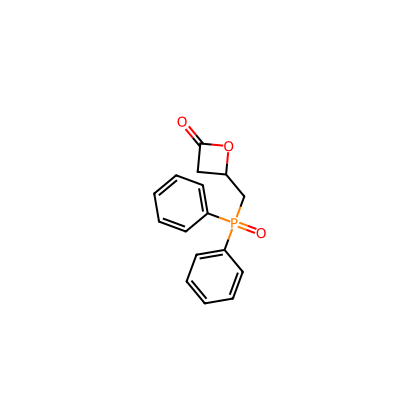 O=C1CC(CP(=O)(c2ccccc2)c2ccccc2)O1